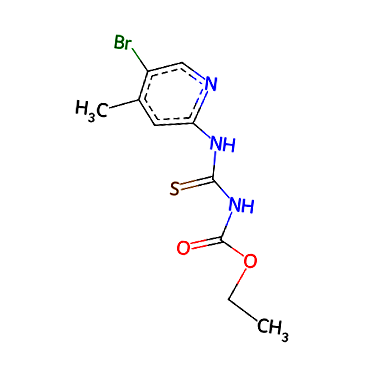 CCOC(=O)NC(=S)Nc1cc(C)c(Br)cn1